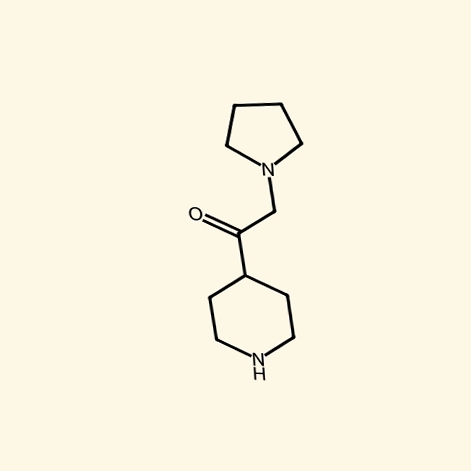 O=C(CN1CCCC1)C1CCNCC1